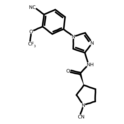 N#Cc1ccc(-n2cnc(NC(=O)[C@H]3CCN(C#N)C3)c2)cc1OC(F)(F)F